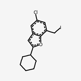 Clc1cc(CI)c2oc(C3CCCCC3)cc2c1